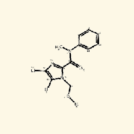 CCOCn1c(C(=O)N(C)c2ccccc2)nc(Cl)c1Cl